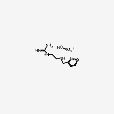 N=C(N)NCCNCc1ccsn1.O=S(=O)(O)O